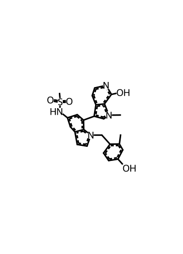 Cc1cc(O)ccc1Cn1ccc2cc(NS(C)(=O)=O)cc(-c3cn(C)c4c(O)nccc34)c21